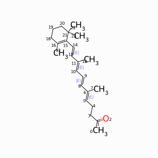 CC(=O)CC/C=C(C)/C=C/C=C(C)/C=C/C1=C(C)CCCC1(C)C